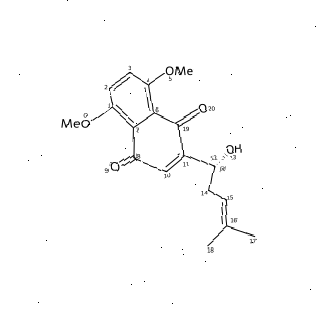 COc1ccc(OC)c2c1C(=O)C=C([C@H](O)CC=C(C)C)C2=O